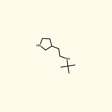 CC(C)(C)NCCC1CCNC1